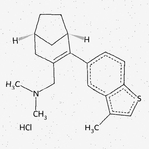 Cc1csc2ccc(C3=C(CN(C)C)C[C@H]4CC[C@@H]3C4)cc12.Cl